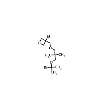 CCC1(COCC(C)(C)COC(C)(C)CC)COC1